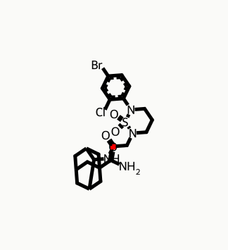 NC(=O)C12CC3CC(C1)C(NC(=O)CN1CCCN(c4ccc(Br)cc4Cl)S1(=O)=O)C(C3)C2